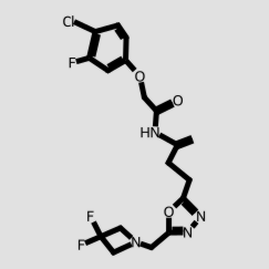 C=C(CCc1nnc(CN2CC(F)(F)C2)o1)NC(=O)COc1ccc(Cl)c(F)c1